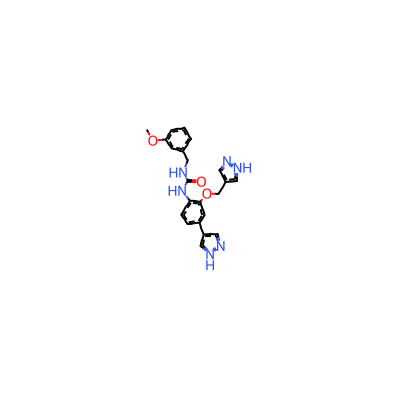 COc1cccc(CNC(=O)Nc2ccc(-c3cn[nH]c3)cc2OCc2cn[nH]c2)c1